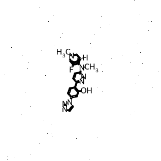 CN1C[C@H]2CCC1C(F)C2N(C)c1ccc(-c2ccc(-n3ccnn3)cc2O)nn1